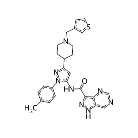 Cc1ccc(-n2nc(C3CCN(Cc4ccsc4)CC3)cc2NC(=O)c2n[nH]c3cncnc23)cc1